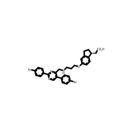 CC(=O)c1ccc(-c2ncc(-c3ccc(C(C)=O)cc3)c(CNCCCOc3ccc4c(c3)CC[C@H]4CC(=O)O)n2)cc1